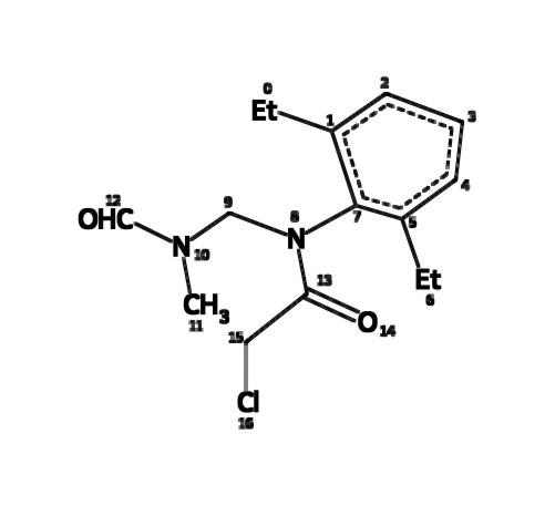 CCc1cccc(CC)c1N(CN(C)C=O)C(=O)CCl